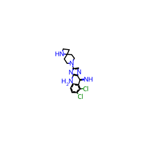 N=C(c1cccc(Cl)c1Cl)c1ncc(N2CCC3(CCN3)CC2)nc1N